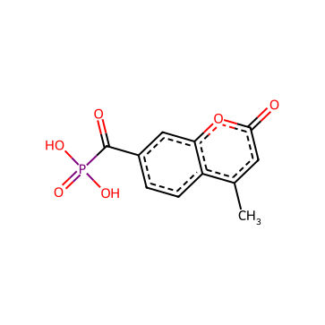 Cc1cc(=O)oc2cc(C(=O)P(=O)(O)O)ccc12